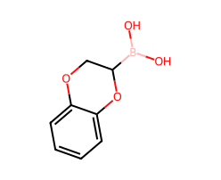 OB(O)C1COc2ccccc2O1